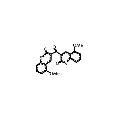 COc1cccc2sc(=O)c(C(=O)c3cc4c(OC)cccc4sc3=O)cc12